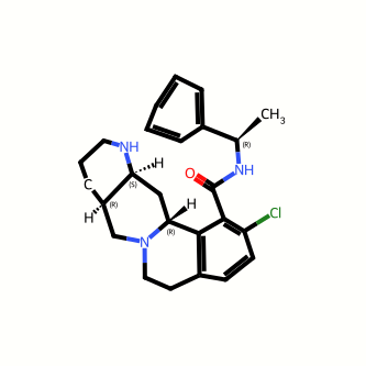 C[C@@H](NC(=O)c1c(Cl)ccc2c1[C@H]1C[C@@H]3NCCC[C@@H]3CN1CC2)c1ccccc1